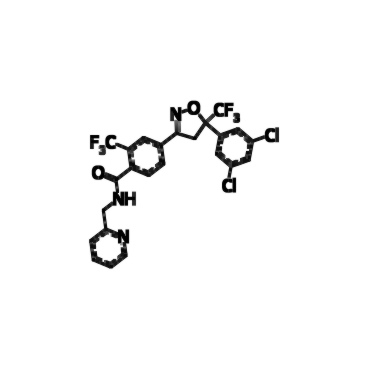 O=C(NCc1ccccn1)c1ccc(C2=NOC(c3cc(Cl)cc(Cl)c3)(C(F)(F)F)C2)cc1C(F)(F)F